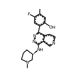 Cc1cc(O)c(-c2nnc(N[C@@H]3CCCN(C)C3)c3cnccc23)cc1F